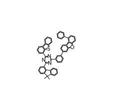 CC1(C)c2ccccc2-c2c(-c3nc(-c4cccc(-c5ccc6c(c5)oc5cccc(-c7ccccc7)c56)c4)nc(-c4cccc5c4sc4ccccc45)n3)cccc21